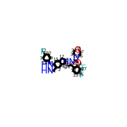 C[C@]12CC(C=N)=C(Nc3ccc(F)cc3)C=C1CC[C@@H]2CC(NC(=O)N1CCOCC1)c1ccc(F)c(F)c1